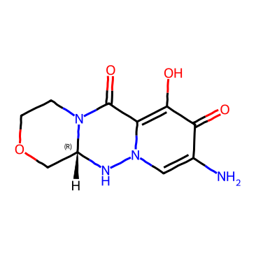 Nc1cn2c(c(O)c1=O)C(=O)N1CCOC[C@H]1N2